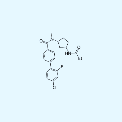 CCC(=O)NC1CCC(N(C)C(=O)c2ccc(-c3ccc(Cl)cc3F)cc2)C1